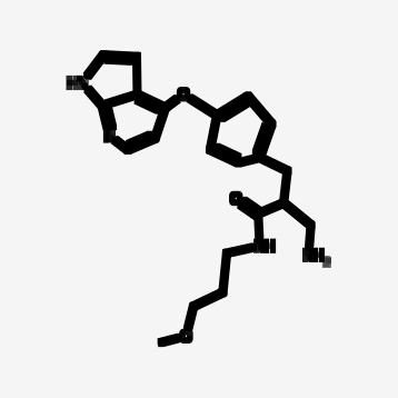 COCCCNC(=O)C(CN)Cc1ccc(Oc2ccnc3[nH]ccc23)cc1